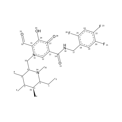 CCC1[C@@H](C)C(C)C(C)C(Cn2cc(C(=O)NCc3cc(F)c(F)cc3F)c(=O)c(O)c2C=O)N1C